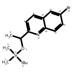 CC(O[Si](C)(C)C(C)(C)C)c1ccc2cc(Br)ccc2n1